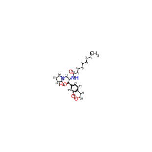 CCCCCCCCC(=O)N[C@H](CN1CCCC1)[C@H](O)c1ccc2c(c1)OOCC2